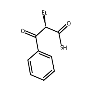 CC[C@@H](C(=O)S)C(=O)c1ccccc1